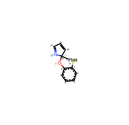 Sc1ccccc1O[C]1([PbH])C=CC=N1